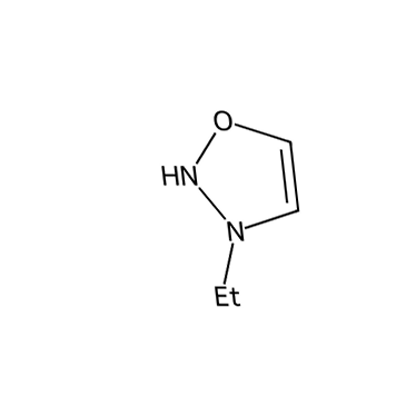 [CH2]CN1C=CON1